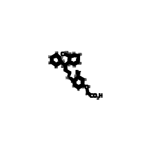 O=C(O)COc1ccc(SCC=C(c2ccccc2)c2ccccc2Cl)c(Br)c1